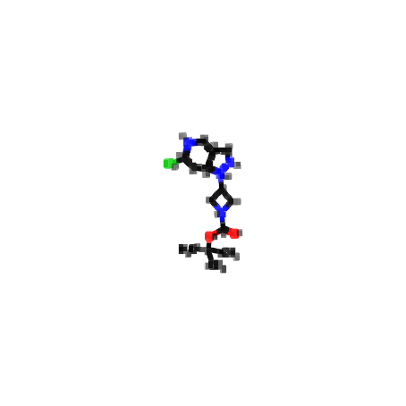 CC(C)(C)OC(=O)N1CC(n2ncc3cnc(Cl)cc32)C1